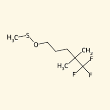 CSOCCCC(C)(C)C(F)(F)F